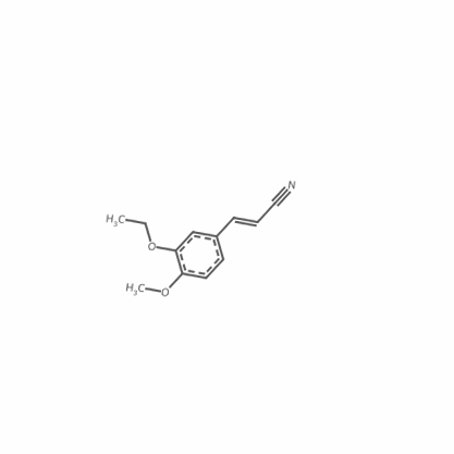 CCOc1cc(/C=C/C#N)ccc1OC